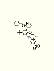 CCCCOc1c(/C=C/c2ccc([N+](=O)[O-])cn2)cc(C(C)(C)C)cc1-c1cccnc1OCc1ccccc1